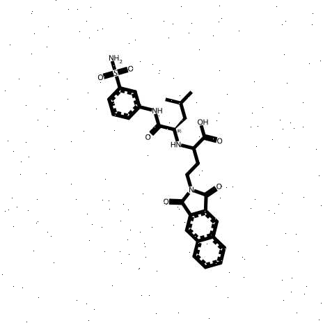 CC(C)C[C@@H](NC(CCN1C(=O)c2cc3ccccc3cc2C1=O)C(=O)O)C(=O)Nc1cccc(S(N)(=O)=O)c1